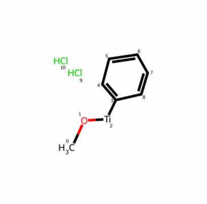 C[O][Ti][c]1ccccc1.Cl.Cl